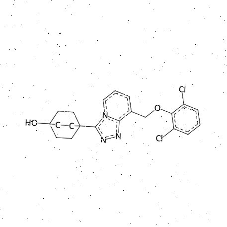 OC12CCC(c3nnc4c(COc5c(Cl)cccc5Cl)cccn34)(CC1)CC2